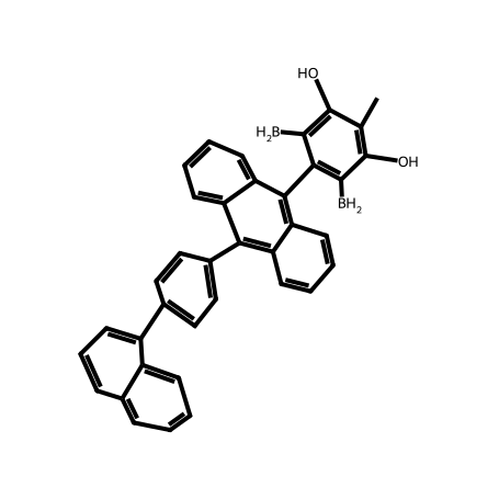 Bc1c(O)c(C)c(O)c(B)c1-c1c2ccccc2c(-c2ccc(-c3cccc4ccccc34)cc2)c2ccccc12